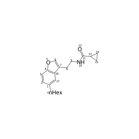 CCCCCCc1ccc2occ(CCNC(=O)C3CC3)c2c1